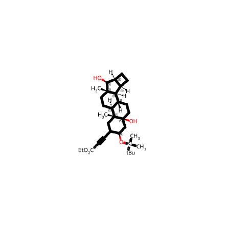 CCOC(=O)C#CC1C[C@]2(C)[C@H]3CC[C@@]4(C)[C@@H]([C@@H]5CC[C@@H]5[C@@H]4O)[C@@H]3CC[C@]2(O)C[C@H]1O[Si](C)(C)C(C)(C)C